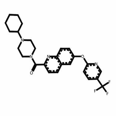 O=C(c1ccc2cc(Oc3ccc(C(F)(F)F)cn3)ccc2n1)N1CCN(C2CCCCC2)CC1